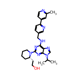 Cc1cc(-c2ccc(CNc3nc(N4CCCC[C@H]4CCO)nc4c3ncn4C(C)C)cn2)ccn1